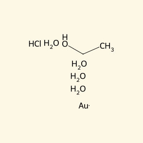 CCO.Cl.O.O.O.O.[Au]